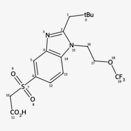 CC(C)(C)Cc1nc2cc(S(=O)(=O)CC(=O)O)ccc2n1CCOC(F)(F)F